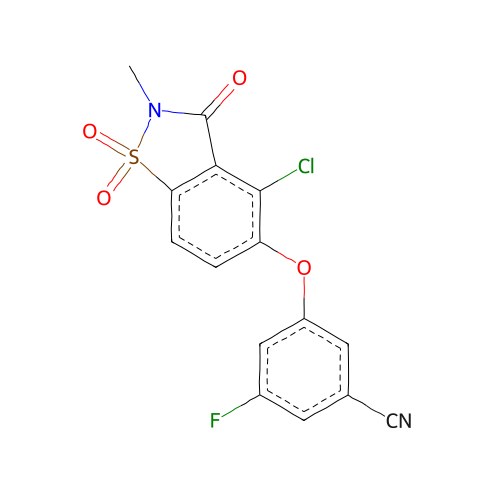 CN1C(=O)c2c(ccc(Oc3cc(F)cc(C#N)c3)c2Cl)S1(=O)=O